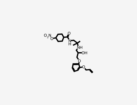 C=CCOc1ccccc1OCC(O)CNC(C)(C)CNC(=O)C1CCC(O[N+](=O)[O-])CC1